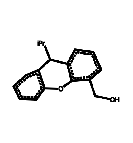 CC(C)C1c2ccccc2Oc2c(CO)cccc21